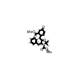 COC(=O)C1CC(=O)C=CC1CC1OC(C)(C)N(C(=O)OC(C)(C)C)C1Cc1ccccc1